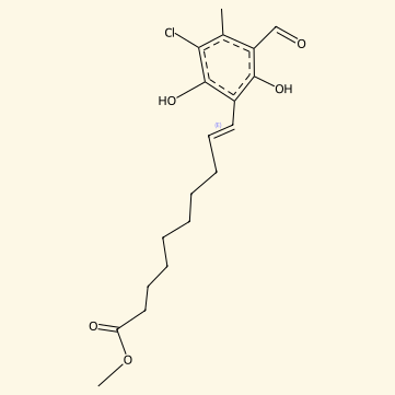 COC(=O)CCCCCCC/C=C/c1c(O)c(Cl)c(C)c(C=O)c1O